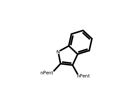 CCCCCC1=C(CCCCC)c2ccccc2[N]1